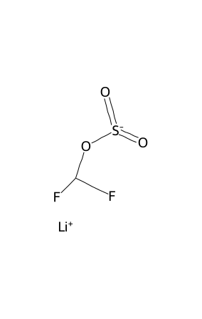 O=[S-](=O)OC(F)F.[Li+]